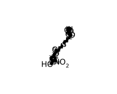 O=C(CCCCSCCCCC(=O)ON1OCCO1)OCc1ccc(CO)c([N+](=O)[O-])c1